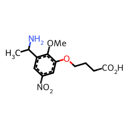 COc1c(OCCCC(=O)O)cc([N+](=O)[O-])cc1C(C)N